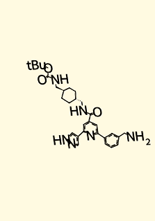 CC(C)(C)OC(=O)NC[C@H]1CC[C@H](CNC(=O)c2cc(-c3cn[nH]c3)nc(-c3cccc(CN)c3)c2)CC1